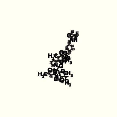 CC[C@H](C)[C@@H]([C@@H](CC(=O)N1CCC[C@H]1[C@H](OC)[C@@H](C)C(=O)NS(=O)(=O)Cc1ccc(CNC(=O)C(F)(F)F)cc1)OC)N(C)C(=O)CC(C)C